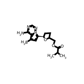 Bc1cc([C@H]2CCC(COC(=O)C(C)C)O2)n2ncnc(N)c12